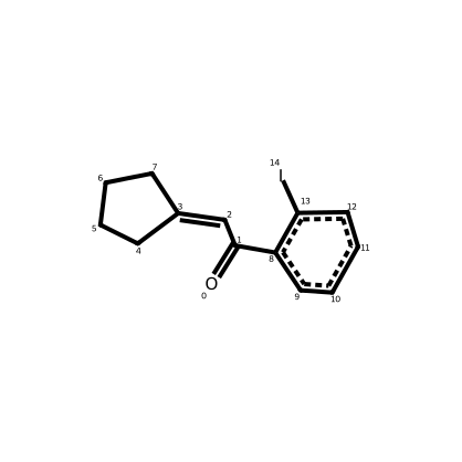 O=C(C=C1CCCC1)c1ccccc1I